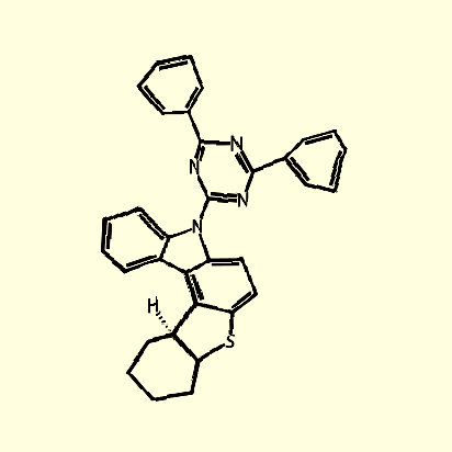 c1ccc(-c2nc(-c3ccccc3)nc(-n3c4ccccc4c4c5c(ccc43)SC3CCCC[C@@H]53)n2)cc1